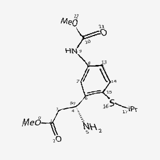 COC(=O)C[C@@H](N)c1cc(NC(=O)OC)ccc1SC(C)C